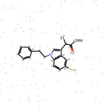 CCC(C(=O)OC)c1cn(CCc2ccccc2)c2ccc(F)cc12